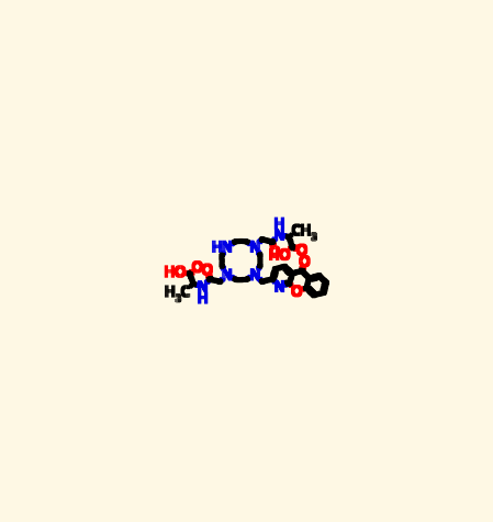 C[C@H](NC(=O)CN1CCNCCN(CC(=O)N[C@@H](C)C(=O)O)CCN(Cc2ccc3c(=O)c4ccccc4oc3n2)CC1)C(=O)O